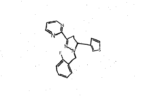 Fc1ccccc1CN1N=C(c2ncccn2)CC1c1ccsc1